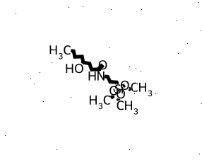 CCCCC(O)CCC(=O)NCCC[Si](OCC)(OCC)OCC